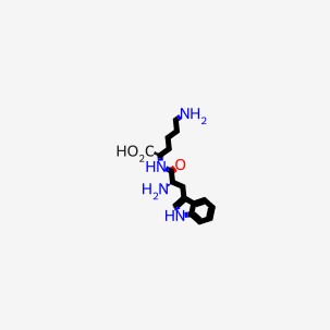 NCCCC[C@@H](NC(=O)[C@@H](N)Cc1c[nH]c2ccccc12)C(=O)O